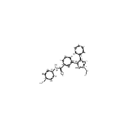 CCn1nc(-c2ccccc2)c(-c2cccc(C(=O)Nc3ccc(F)cc3)c2)n1